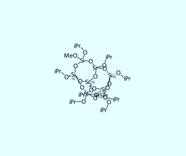 CO[Si]1(OC(C)C)O[Si]2(OC(C)C)O[Si@]3(OC(C)C)O[Si@H](OC(C)C)O[Si]4(OC(C)C)O[Si](OC(C)C)(O3)O[Si@@](OC(C)C)(O2)O[Si@@](OC(C)C)(O1)O4